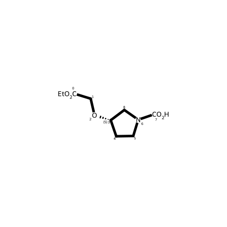 CCOC(=O)CO[C@H]1CCN(C(=O)O)C1